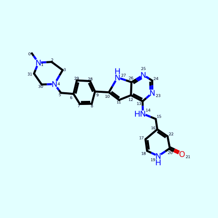 CN1CCN(Cc2ccc(-c3cc4c(NCc5cc[nH]c(=O)c5)ncnc4[nH]3)cc2)CC1